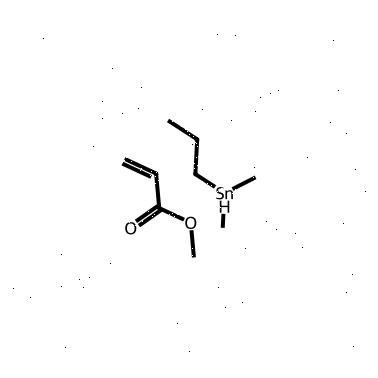 C=CC(=O)OC.CC[CH2][SnH]([CH3])[CH3]